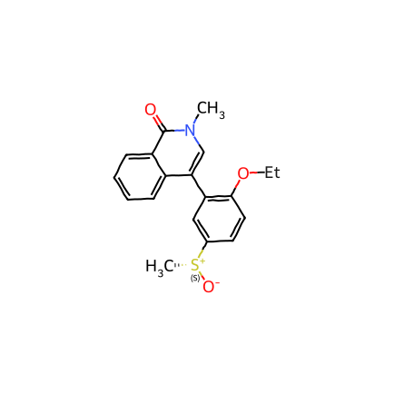 CCOc1ccc([S@@+](C)[O-])cc1-c1cn(C)c(=O)c2ccccc12